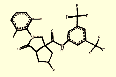 Cc1cccc(C)c1N1CC2(C(=O)Nc3cc(C(F)(F)F)cc(C(F)(F)F)c3)CC(F)CC2C1=O